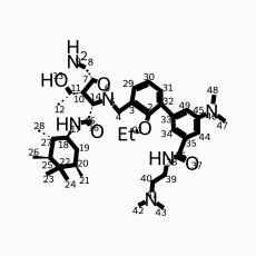 CCOc1c(CN2O[C@@H](CN)[C@@H]([C@H](C)O)[C@H]2C(=O)N[C@H]2C[C@@H](C)C(C)(C)[C@@H](C)[C@@H]2C)cccc1-c1cc(C(=O)NCCN(C)C)cc(N(C)C)c1